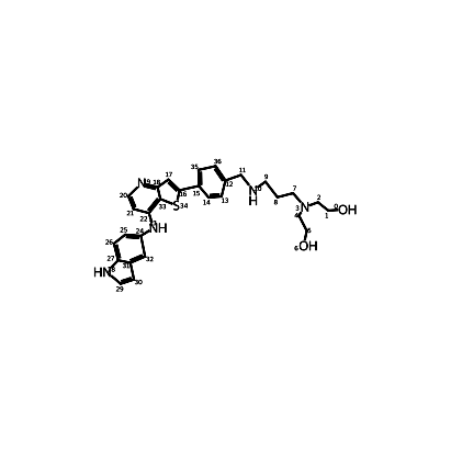 OCCN(CCO)CCCNCc1ccc(-c2cc3nccc(Nc4ccc5[nH]ccc5c4)c3s2)cc1